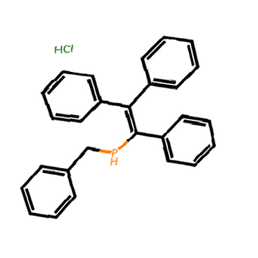 Cl.c1ccc(CPC(=C(c2ccccc2)c2ccccc2)c2ccccc2)cc1